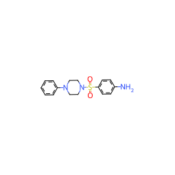 Nc1ccc(S(=O)(=O)N2CCN(c3ccccc3)CC2)cc1